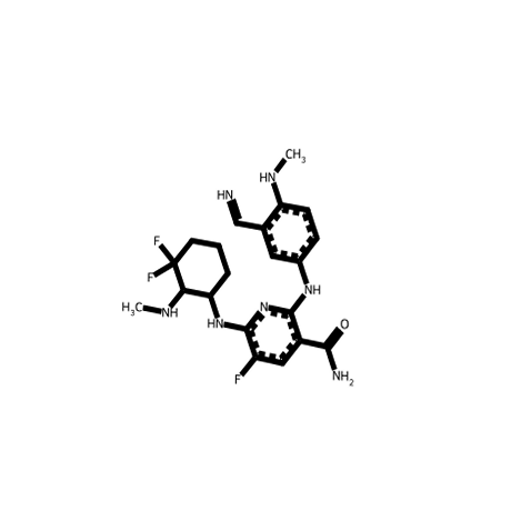 CNc1ccc(Nc2nc(NC3CCCC(F)(F)C3NC)c(F)cc2C(N)=O)cc1C=N